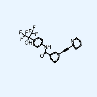 O=C(Nc1ccc(C(O)(C(F)(F)F)C(F)(F)F)cc1)c1cccc(C#Cc2ccccn2)c1